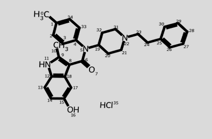 Cc1ccc(N(C(=O)c2c(C)[nH]c3ccc(O)cc23)C2CCN(CCc3ccccc3)CC2)cc1.Cl